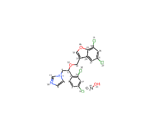 Clc1ccc(C(Cn2ccnc2)OCc2coc3c(Cl)cc(Cl)cc23)c(Cl)c1.O=[N+]([O-])O